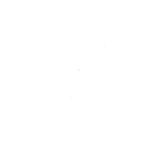 COc1ccc2oc(=O)cc(NC3CCN(Cc4ccccc4)CC3)c2c1